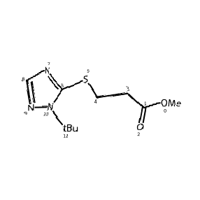 COC(=O)CCSc1ncnn1C(C)(C)C